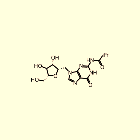 CC(C)C(=O)Nc1nc2c(ncn2C[C@@H]2O[C@H](CO)C(O)[C@@H]2O)c(=O)[nH]1